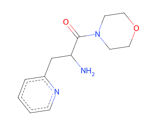 NC(Cc1ccccn1)C(=O)N1CCOCC1